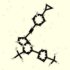 FC(F)(F)c1ccc(-c2cc(C(F)(F)F)n3ncc(C#Cc4ccc(C5CC5)nc4)c3n2)cc1